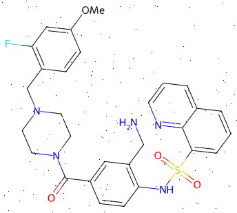 COc1ccc(CN2CCN(C(=O)c3ccc(NS(=O)(=O)c4cccc5cccnc45)c(CN)c3)CC2)c(F)c1